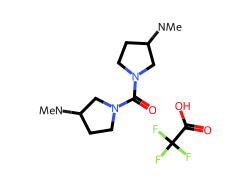 CNC1CCN(C(=O)N2CCC(NC)C2)C1.O=C(O)C(F)(F)F